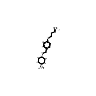 C=CCCOc1ccc(CC[C@H]2CC[C@H](CCC)CC2)cc1